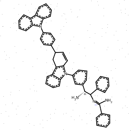 N/C(=N\C(c1ccccc1)[C@H](N)c1cccc(-n2c3c(c4ccccc42)CC(c2ccc(-n4c5ccccc5c5ccccc54)cc2)C=C3)c1)c1ccccc1